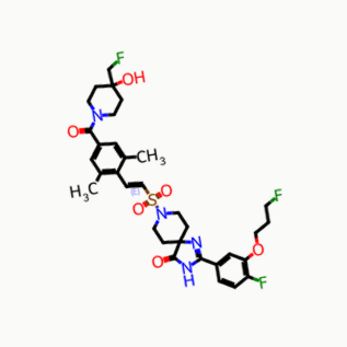 Cc1cc(C(=O)N2CCC(O)(CF)CC2)cc(C)c1/C=C/S(=O)(=O)N1CCC2(CC1)N=C(c1ccc(F)c(OCCCF)c1)NC2=O